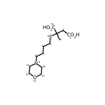 CC(CC(=O)O)(SCCCCN1CCOCC1)C(=O)O